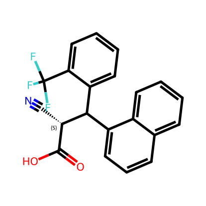 N#C[C@@H](C(=O)O)C(c1ccccc1C(F)(F)F)c1cccc2ccccc12